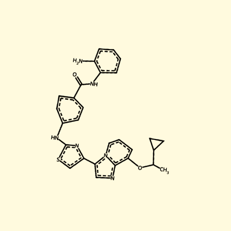 CC(Oc1cccn2c(-c3csc(Nc4ccc(C(=O)Nc5ccccc5N)cc4)n3)cnc12)C1CC1